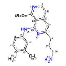 COc1nccc2cc(CCCN)nc(Nc3ccc(C)c(C)c3)c12